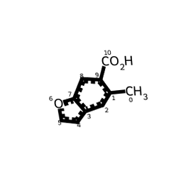 Cc1cc2ccoc2cc1C(=O)O